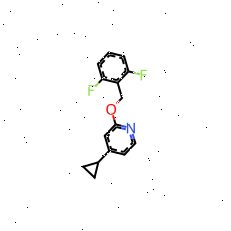 Fc1cccc(F)c1COc1cc(C2CC2)ccn1